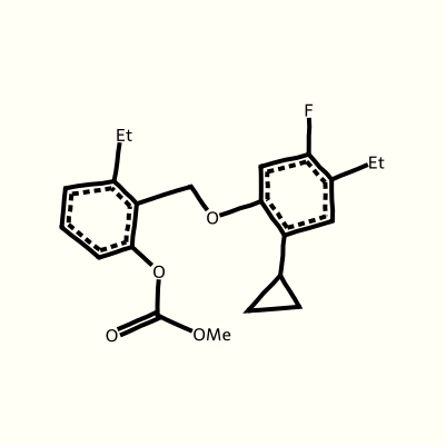 CCc1cc(C2CC2)c(OCc2c(CC)cccc2OC(=O)OC)cc1F